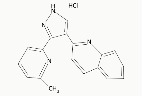 Cc1cccc(-c2n[nH]cc2-c2ccc3ccccc3n2)n1.Cl